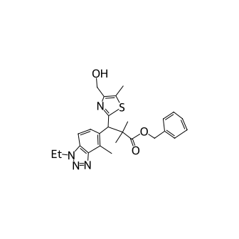 CCn1nnc2c(C)c(C(c3nc(CO)c(C)s3)C(C)(C)C(=O)OCc3ccccc3)ccc21